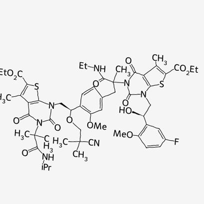 CCNC(=O)C(C)(Cc1ccc([C@H](Cn2c(=O)n(C(C)(C)C(=O)NC(C)C)c(=O)c3c(C)c(C(=O)OCC)sc32)OCC(C)(C)C#N)c(OC)c1)n1c(=O)c2c(C)c(C(=O)OCC)sc2n(C[C@H](O)c2cc(F)ccc2OC)c1=O